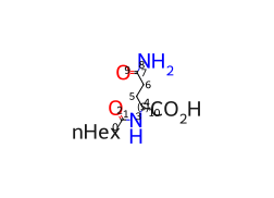 CCCCCCC(=O)N[C@@H](CCC(N)=O)C(=O)O